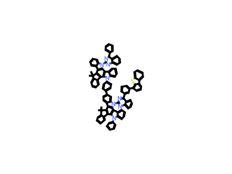 CC1(C)c2ccccc2-c2c1c1c3ccccc3n(-c3nc(-c4ccccc4)c4ccccc4n3)c1c1c3ccccc3n(-c3ccc(-c4ccc5c6c7c(c8c(c9ccccc9n8-c8ccccc8)c6n(-c6nc(-c8cccc(-c9cccc%10c9sc9ccccc9%10)c8)c8ccccc8n6)c5c4)-c4ccccc4C7(C)C)cc3)c21